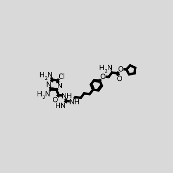 N=C(NCCCCc1ccc(OC[C@H](N)C(=O)OC2CCCC2)cc1)NC(=O)c1nc(Cl)c(N)nc1N